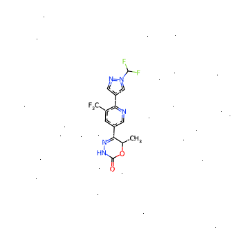 CC1OC(=O)NN=C1c1cnc(-c2cnn(C(F)F)c2)c(C(F)(F)F)c1